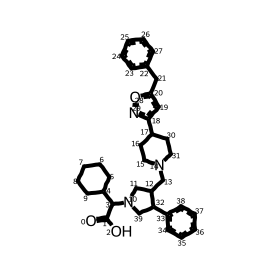 O=C(O)C(C1CCCCC1)N1CC(CN2CCC(c3cc(Cc4ccccc4)on3)CC2)C(c2ccccc2)C1